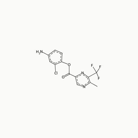 Cc1ncc(C(=O)Oc2ccc(N)cc2Cl)nc1C(F)(F)F